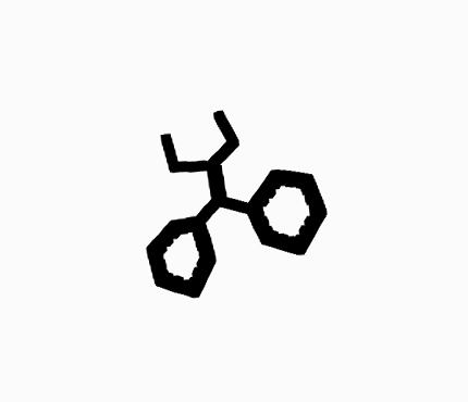 CCC(CC)=C(c1ccccc1)c1ccccc1